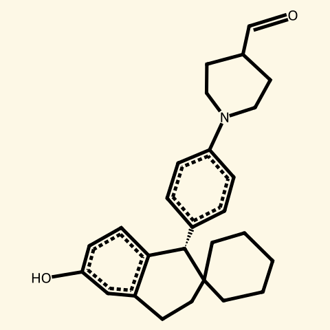 O=CC1CCN(c2ccc([C@H]3c4ccc(O)cc4CCC34CCCCC4)cc2)CC1